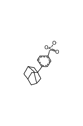 [O]S(=O)(=O)c1ccc(C23CC4CC(CC(C4)C2)C3)cc1